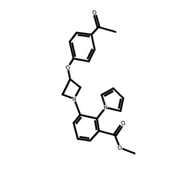 COC(=O)c1cccc(N2CC(Oc3ccc(C(C)=O)cc3)C2)c1-n1cccc1